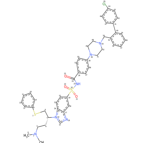 CN(C)CC[C@H](CSc1ccccc1)n1cnc2cc(S(=O)(=O)NC(=O)c3ccc(N4CCN(Cc5ccccc5-c5ccc(Cl)cc5)CC4)cc3)ccc21